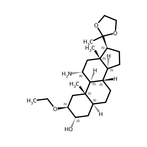 CCO[C@H]1C[C@@]2(C)[C@@H](CC[C@@H]3[C@@H]2[C@H](N)C[C@]2(C)[C@@H](C4(C)OCCO4)CC[C@@H]32)C[C@@H]1O